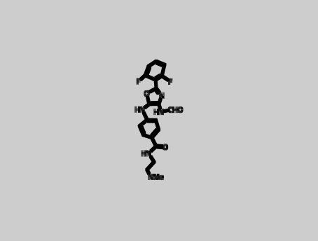 CNCCNC(=O)c1ccc(Nc2oc(-c3c(F)cccc3F)nc2NC=O)cc1